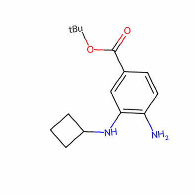 CC(C)(C)OC(=O)c1ccc(N)c(NC2CCC2)c1